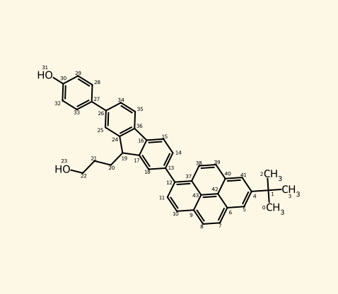 CC(C)(C)c1cc2ccc3ccc(-c4ccc5c(c4)C(CCCO)c4cc(-c6ccc(O)cc6)ccc4-5)c4ccc(c1)c2c34